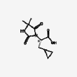 CC1(C)NC(=O)N([C@@H](CC2CC2)C(=O)O)C1=O